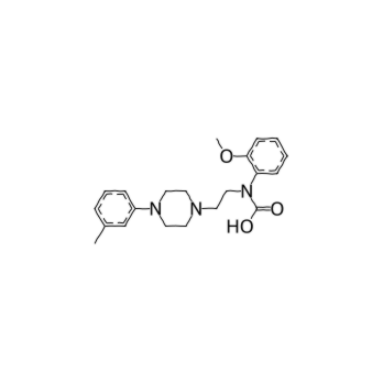 COc1ccccc1N(CCN1CCN(c2cccc(C)c2)CC1)C(=O)O